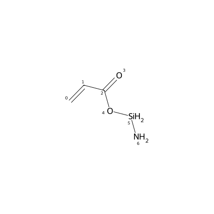 C=CC(=O)O[SiH2]N